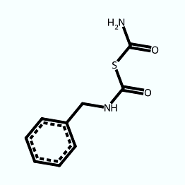 NC(=O)SC(=O)NCc1ccccc1